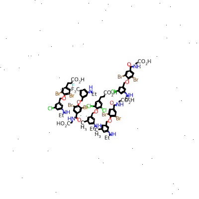 CCNc1cc(C)cc(COc2c(Br)cc(C(=O)NCC(=O)O)cc2Br)c1.CCNc1cc(C)cc(COc2c(Cl)cc(CCC(=O)O)cc2Cl)c1.CCNc1cc(COc2c(Br)cc(C(=O)NCC(=O)O)cc2Br)cc(C(F)(F)F)c1.CCNc1cc(Cl)cc(COc2c(Br)cc(C(=O)NCC(=O)O)cc2Br)c1.CCNc1cc(Cl)cc(COc2c(Br)cc(CC(F)C(=O)O)cc2Br)c1